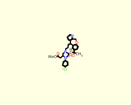 COC(=O)CC1CN(CC/C=C2\c3cc(C(C)(C)O)ccc3OCc3ncccc32)CCN1c1ccc(Cl)cc1